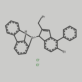 CCc1ccc2c(c1-c1ccccc1)C=C(CC(C)C)[CH]2[Zr+2]1[c]2cccc3c2[SiH]1c1ccccc1-3.[Cl-].[Cl-]